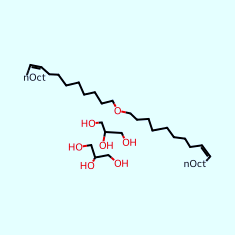 CCCCCCCC/C=C\CCCCCCCCOCCCCCCCC/C=C\CCCCCCCC.OCC(O)CO.OCC(O)CO